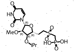 CO[C@@H]1[C@H](OC(C)C)[C@@H](CCS(=O)(=O)CP(=O)(O)O)O[C@H]1n1ccc(=O)[nH]c1=O